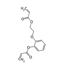 C=CC(=O)OCCOc1ccccc1OC(=O)C=C